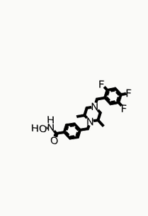 CC1CN(Cc2cc(F)c(F)cc2F)CC(C)N1Cc1ccc(C(=O)NO)cc1